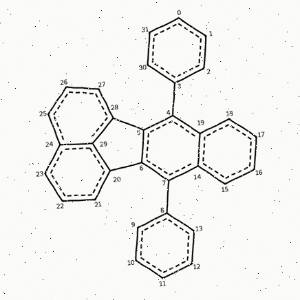 c1ccc(-c2c3c(c(-c4ccccc4)c4ccccc24)-c2cccc4cccc-3c24)cc1